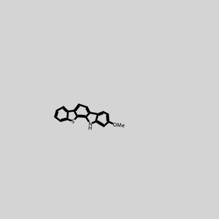 COc1ccc2c(c1)[nH]c1c2ccc2c3ccccc3sc21